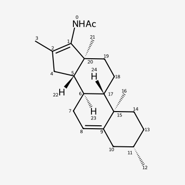 CC(=O)NC1=C(C)C[C@H]2[C@@H]3CC=C4C[C@@H](C)CC[C@]4(C)[C@H]3CC[C@]12C